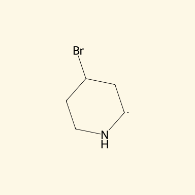 BrC1C[CH]NCC1